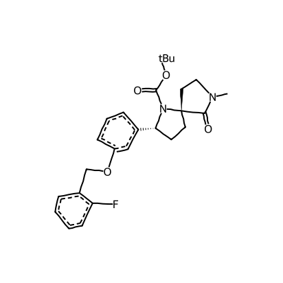 CN1CC[C@]2(CC[C@H](c3cccc(OCc4ccccc4F)c3)N2C(=O)OC(C)(C)C)C1=O